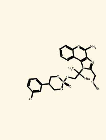 CCCCC(C)(COP1(=O)OCC(c2cccc(Cl)c2)CO1)n1c(COCC)nc2c(N)nc3ccccc3c21